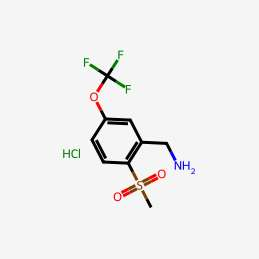 CS(=O)(=O)c1ccc(OC(F)(F)F)cc1CN.Cl